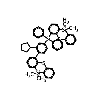 C[Si]1(C)c2ccccc2Sc2c(-c3ccc([Si](c4ccccc4)(c4ccccc4)c4cccc5c4Sc4ccccc4[Si]5(C)C)cc3C3CCCC3)cccc21